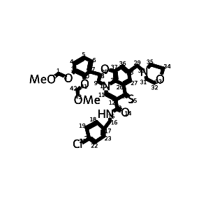 COCOc1cccc(C2Cn3cc(C(=O)NCc4ccc(Cl)cc4)c(=S)c4cc(CN5CCOCC5)cc(c43)O2)c1OCOC